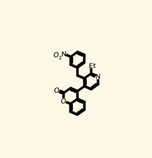 CCc1nccc(-c2cc(=O)oc3ccccc23)c1Cc1cccc([N+](=O)[O-])c1